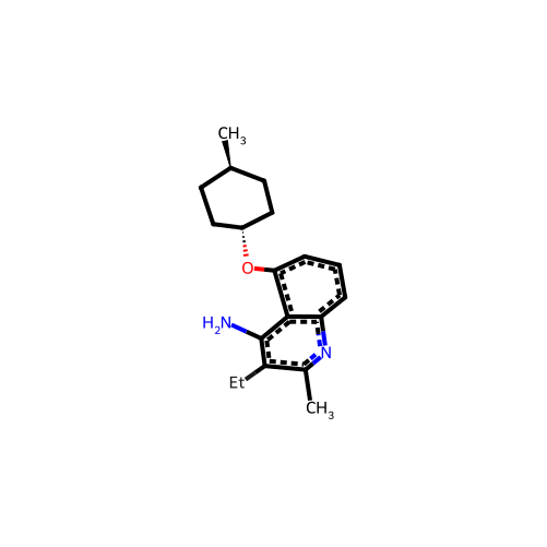 CCc1c(C)nc2cccc(O[C@H]3CC[C@H](C)CC3)c2c1N